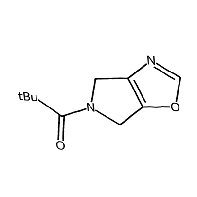 CC(C)(C)C(=O)N1Cc2ncoc2C1